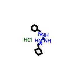 Cl.N=C(NN=CC1CCCCC1)NN=CC1CCCCC1